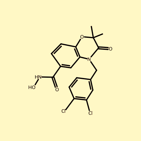 CC1(C)Oc2ccc(C(=O)NO)cc2N(Cc2ccc(Cl)c(Cl)c2)C1=O